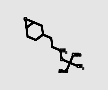 COC(C)(OC)O[SiH2]CCC1CCC2OC2C1